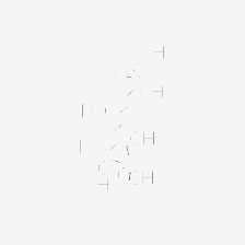 CCOC(=O)/C(C)=C/C=C(C)/C=C/c1c(C)cc(OC)c(C)c1C